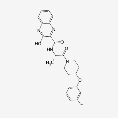 C[C@H](NC(=O)c1nc2ccccc2nc1O)C(=O)N1CCC(Oc2cccc(F)c2)CC1